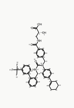 O=C(NC[C@@H](O)C(=O)O)c1ccc(CN(C(=O)NCc2ccccc2-c2cccc(C(F)(F)F)c2)c2ccc(C3=CCCCC3)cc2)cc1